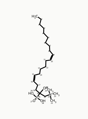 CCCCCCCCC/C=C\CCCC/C=C\CCC(O)(C[N+](C)(C)C)P(=O)(O)O